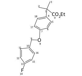 CCOC(=O)C(C)(C)c1ccc(OCc2ccc(F)cc2)cc1